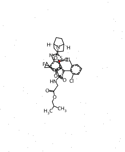 CC(C)COC(=O)CNC(=O)c1cc(F)c2nc(N3[C@@H]4CC[C@H]3C[C@@H](OC(=O)c3c(-c5c(Cl)cccc5Cl)noc3C3CC3)C4)sc2c1